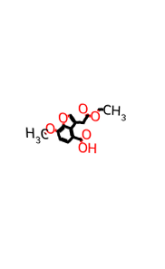 CCOC(=O)Cc1coc2c(OC)ccc(C(=O)O)c12